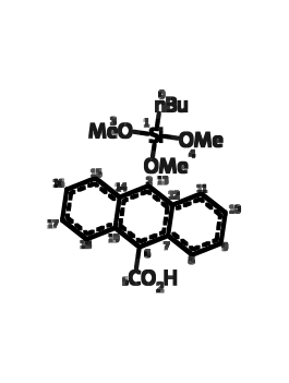 CCCC[Si](OC)(OC)OC.O=C(O)c1c2ccccc2cc2ccccc12